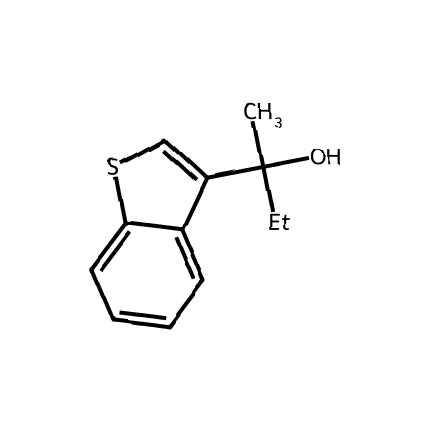 CCC(C)(O)c1csc2ccccc12